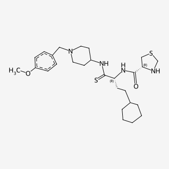 COc1ccc(CN2CCC(NC(=S)[C@@H](CCC3CCCCC3)NC(=O)[C@@H]3CSCN3)CC2)cc1